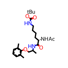 CC(=O)N[C@@H](CCCCNC(=O)OC(C)(C)C)C(=O)NC(C)COc1c(C)cccc1C